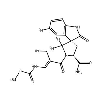 [2H]c1ccc2c(c1)[C@@]1(C[C@@H](C(N)=O)N(C(=O)C(=CNC(=O)OC(C)(C)C)CC(C)C)C1([2H])[2H])C(=O)N2